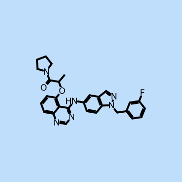 CC(Oc1cccc2ncnc(Nc3ccc4c(cnn4Cc4cccc(F)c4)c3)c12)C(=O)N1CCCC1